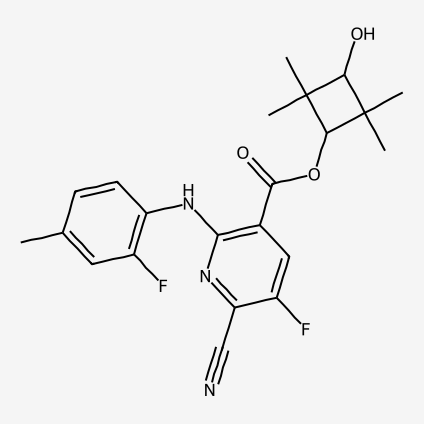 Cc1ccc(Nc2nc(C#N)c(F)cc2C(=O)OC2C(C)(C)C(O)C2(C)C)c(F)c1